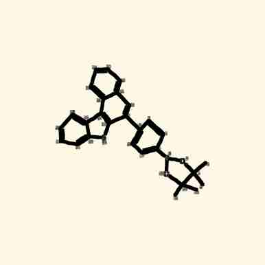 CC1(C)OB(c2ccc(-c3cc4ccccc4c4c3sc3ccccc34)cc2)OC1(C)C